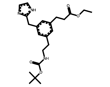 CCOC(=O)CCc1cc(CCNC(=O)OC(C)(C)C)cc(Cc2ncc[nH]2)c1